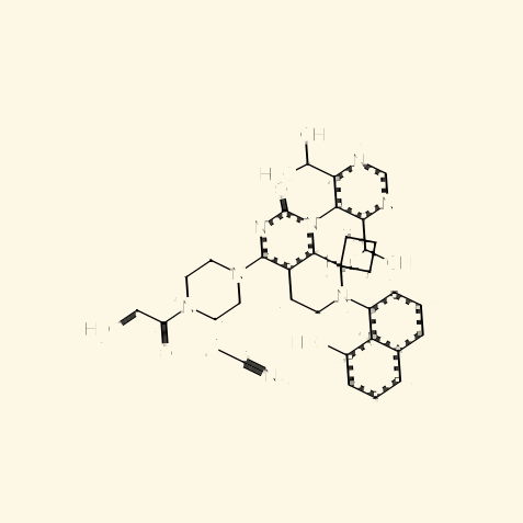 C=CC(=O)N1CCN(c2nc(=O)n(-c3c(C(C)C)ncnc3C(C)C)c3c2CCN(c2cccc4cccc(C)c24)C32CCC2)C[C@@H]1CC#N